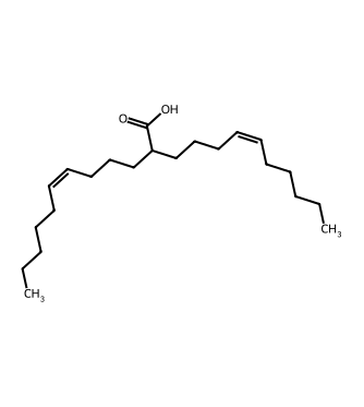 CCCCC/C=C\CCCC(CCC/C=C\CCCCC)C(=O)O